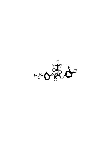 N[C@H]1CC[C@H](NC(=O)C(OC(=O)C(F)(F)F)Oc2ccc(Cl)c(F)c2)C1